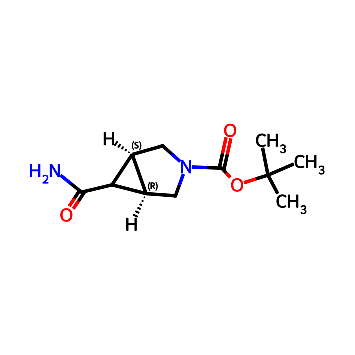 CC(C)(C)OC(=O)N1C[C@@H]2C(C(N)=O)[C@@H]2C1